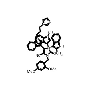 COc1ccc(CN2C(=O)[N+](c3c(C)[nH]c4ccccc34)(c3cn(C)c4ccccc34)C(c3cn(CCCn4ccnc4)c4ccccc34)=C2C#N)c(OC)c1